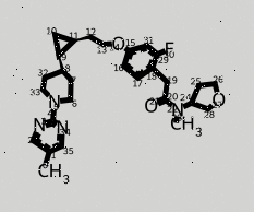 Cc1cnc(N2CCC([C@H]3C[C@H]3CCOc3ccc(CC(=O)N(C)C4CCOC4)c(F)c3)CC2)nc1